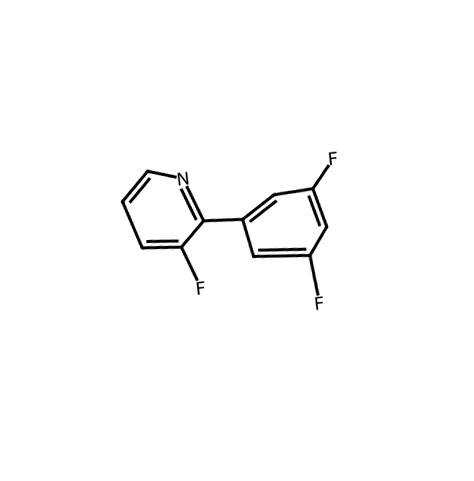 Fc1cc(F)cc(-c2ncccc2F)c1